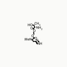 CN[C@@H](Cc1c[nH]cn1)C(=O)OCCOC(=O)[C@@H](N)[C@@H](C)O